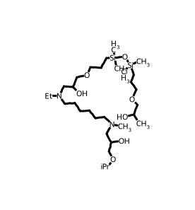 CCN(CCCCCCN(C)CC(O)COC(C)C)CC(O)COCCC[Si](C)(C)O[Si](C)(C)CCCOCC(C)O